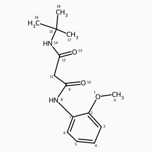 COc1ccccc1NC(=O)CC(=O)NC(C)(C)C